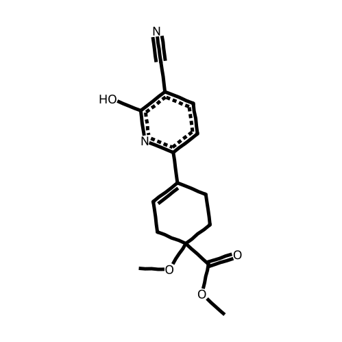 COC(=O)C1(OC)CC=C(c2ccc(C#N)c(O)n2)CC1